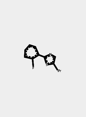 CC(C)c1cnc(-c2ccccc2F)s1